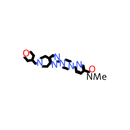 CNC(=O)c1ccc(N2CCN(c3ncc4c(n3)CCN(CC3CCOCC3)CC4)CC2)nc1